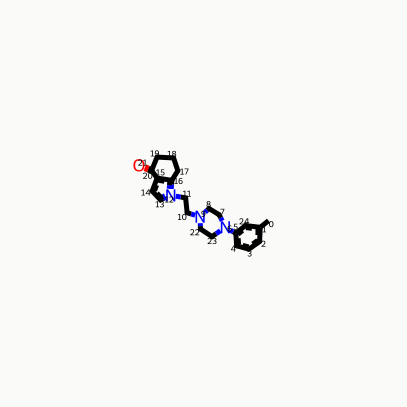 Cc1cccc(N2CCN(CCn3ccc4c3CCCC4=O)CC2)c1